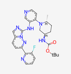 C[C@@H]1CC[C@@H](NC(=O)OC(C)(C)C)CN1c1ccncc1Nc1ncc2ccc(-c3ncccc3F)nn12